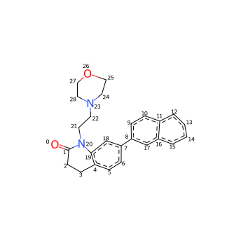 O=C1CCc2ccc(-c3ccc4ccccc4c3)cc2N1CCN1CCOCC1